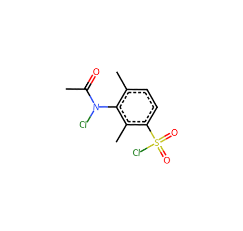 CC(=O)N(Cl)c1c(C)ccc(S(=O)(=O)Cl)c1C